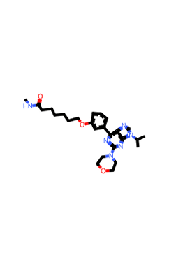 CNC(=O)CCCCCCOc1cccc(-c2nc(N3CCOCC3)nc3c2ncn3C(C)C)c1